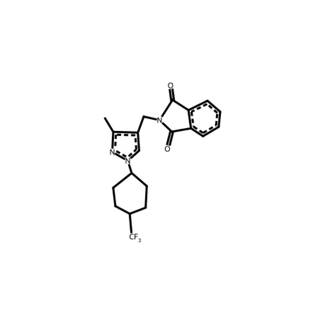 Cc1nn(C2CCC(C(F)(F)F)CC2)cc1CN1C(=O)c2ccccc2C1=O